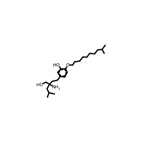 CC(C)CCCCCCCCOc1ccc(CCC(N)(CO)CC(C)C)cc1O